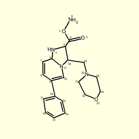 NOC(=O)C1NC2C=CC(c3ccccc3)=CN2C1CN1CCOCC1